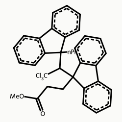 CCCC1(C(C(Cl)(Cl)Cl)C2(CCC(=O)OC)c3ccccc3-c3ccccc32)c2ccccc2-c2ccccc21